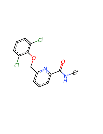 CCNC(=O)c1cccc(COc2c(Cl)cccc2Cl)n1